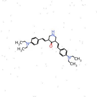 CCN(CC)c1ccc(C=CC2CNCC(C=Cc3ccc(N(CC)CC)cc3)C2=O)cc1